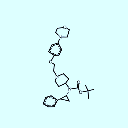 CC(C)(C)OC(=O)N(C1CCN(CCOc2ccc(N3CCOCC3)cc2)CC1)[C@@H]1C[C@H]1c1ccccc1